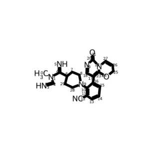 CN(C=N)C(=N)C1CCN(c2c(C#N)cccc2-c2cnc(=O)n3c2OCC=C3)CC1